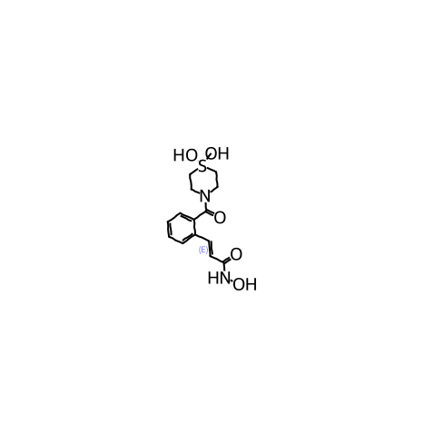 O=C(/C=C/c1ccccc1C(=O)N1CCS(O)(O)CC1)NO